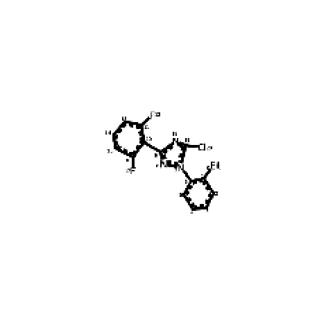 CCc1ccccc1-n1nc(-c2c(F)cccc2F)nc1Cl